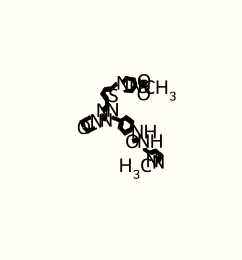 Cn1nccc1CNC(=O)Nc1ccc(-c2nc(-c3ccc(CN4CCN(S(C)(=O)=O)CC4)s3)nc(N3CCOCC3)n2)cc1